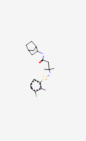 Cc1c(Cl)cccc1S(=O)(=O)NC(C)(C)CC(=O)NC1CC2CCC1C2